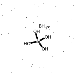 B.O[Si](O)(O)O.[P]